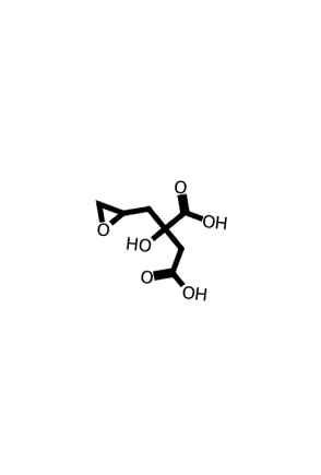 O=C(O)CC(O)(CC1CO1)C(=O)O